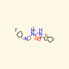 CC(C)C[C@H](NC(=O)c1cc2ccccc2s1)C(=O)N[C@H]1CCN(Cc2ccc(F)cc2)C1